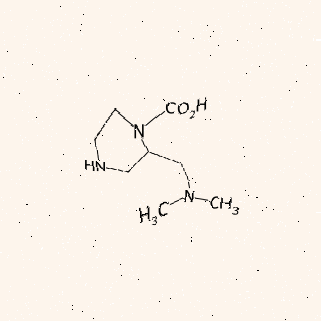 CN(C)CC1CNCCN1C(=O)O